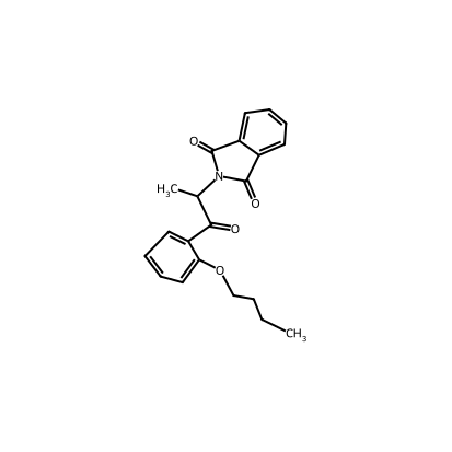 CCCCOc1ccccc1C(=O)C(C)N1C(=O)c2ccccc2C1=O